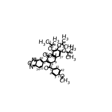 COc1ccc(C(=O)C(Cc2cc(OC(C)C)c(OC(C)C)c(OC(C)C)c2)=C(C(=O)O)c2ccc3nonc3c2)cc1